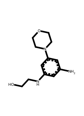 Nc1cc(NCCO)cc(N2CCOCC2)c1